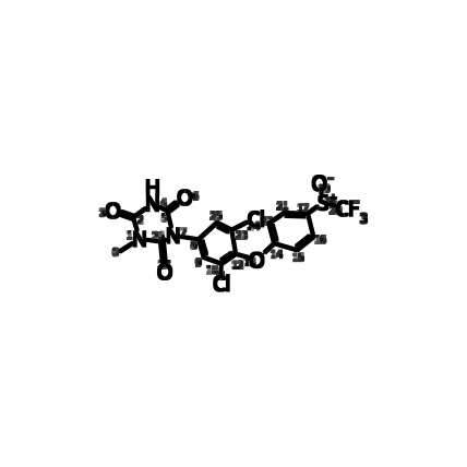 Cn1c(=O)[nH]c(=O)n(-c2cc(Cl)c(Oc3ccc([S+]([O-])C(F)(F)F)cc3)c(Cl)c2)c1=O